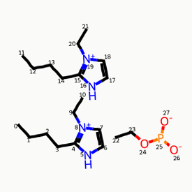 CCCCc1[nH]cc[n+]1CC.CCCCc1[nH]cc[n+]1CC.CCOP([O-])[O-]